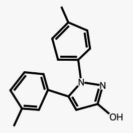 Cc1ccc(-n2nc(O)cc2-c2cccc(C)c2)cc1